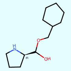 OC(OCC1CCCCC1)[C@H]1CCCN1